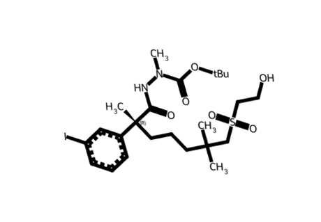 CN(NC(=O)[C@](C)(CCCC(C)(C)CS(=O)(=O)CCO)c1cccc(I)c1)C(=O)OC(C)(C)C